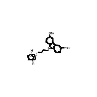 CC(C)(C)c1ccc2c(c1)c1cc(C(C)(C)C)ccc1n2CCCC[C@@H]1C[C@@H]2C=C[C@@H]1C2